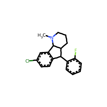 CN1CCCC2C(c3ccccc3F)c3ccc(Cl)cc3C21